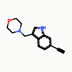 C#Cc1ccc2c(CN3CCOCC3)c[nH]c2c1